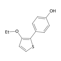 CCOc1ccsc1-c1ccc(O)cc1